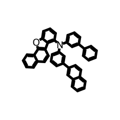 c1ccc(-c2cccc(N(c3cccc(-c4ccc5ccccc5c4)c3)c3cccc4oc5c6ccccc6ccc5c34)c2)cc1